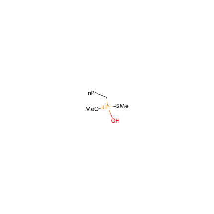 CCCC[PH](O)(OC)SC